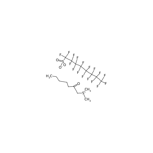 CCCCCC(=O)C[S+](C)C.O=S(=O)([O-])C(F)(F)C(F)(F)C(F)(F)C(F)(F)C(F)(F)C(F)(F)C(F)(F)C(F)(F)F